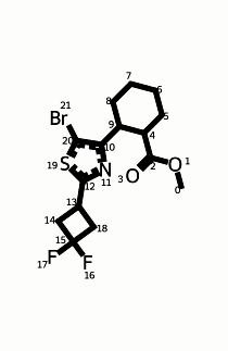 COC(=O)C1CCCCC1c1nc(C2CC(F)(F)C2)sc1Br